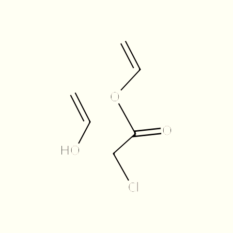 C=CO.C=COC(=O)CCl